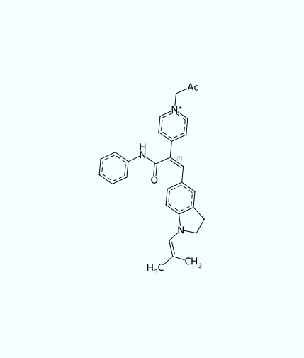 CC(=O)C[n+]1ccc(/C(=C/c2ccc3c(c2)CCN3C=C(C)C)C(=O)Nc2ccccc2)cc1